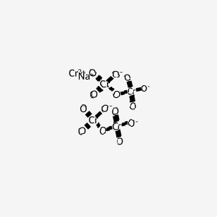 [Cr+3].[Na+].[O]=[Cr](=[O])([O-])[O][Cr](=[O])(=[O])[O-].[O]=[Cr](=[O])([O-])[O][Cr](=[O])(=[O])[O-]